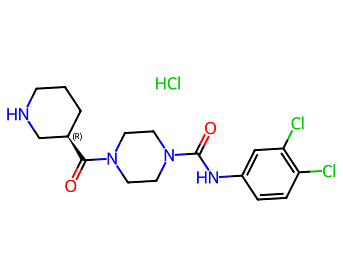 Cl.O=C(Nc1ccc(Cl)c(Cl)c1)N1CCN(C(=O)[C@@H]2CCCNC2)CC1